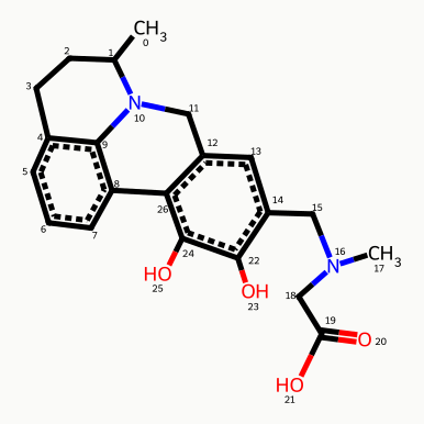 CC1CCc2cccc3c2N1Cc1cc(CN(C)CC(=O)O)c(O)c(O)c1-3